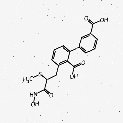 CSC(Cc1cccc(-c2cccc(C(=O)O)c2)c1C(=O)O)C(=O)NO